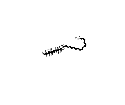 CC/C=C\C/C=C\C/C=C\CCCCCCCC(=O)OC(F)(F)C(F)(F)C(F)(F)C(F)(F)C(F)(F)C(F)(F)C(F)(F)CF